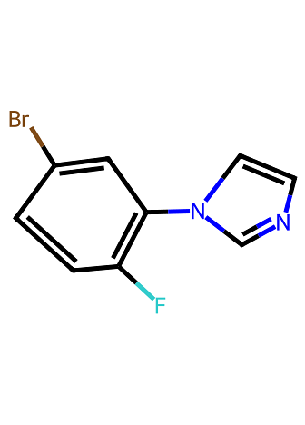 Fc1ccc(Br)cc1-n1ccnc1